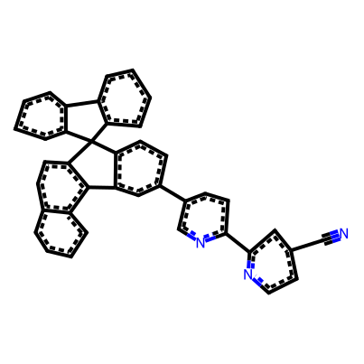 N#Cc1ccnc(-c2ccc(-c3ccc4c(c3)-c3c(ccc5ccccc35)C43c4ccccc4-c4ccccc43)cn2)c1